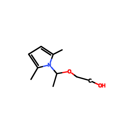 Cc1ccc(C)n1C(C)OCCO